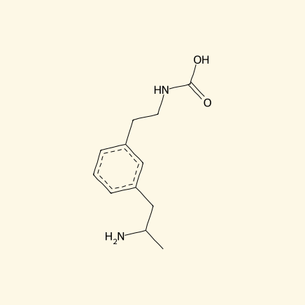 CC(N)Cc1cccc(CCNC(=O)O)c1